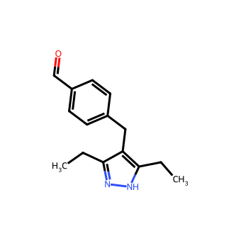 CCc1n[nH]c(CC)c1Cc1ccc(C=O)cc1